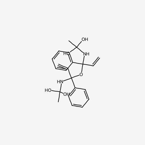 C=CC(NC(C)(O)O)(OC(C=C)(NC(C)(O)O)c1ccccc1)c1ccccc1